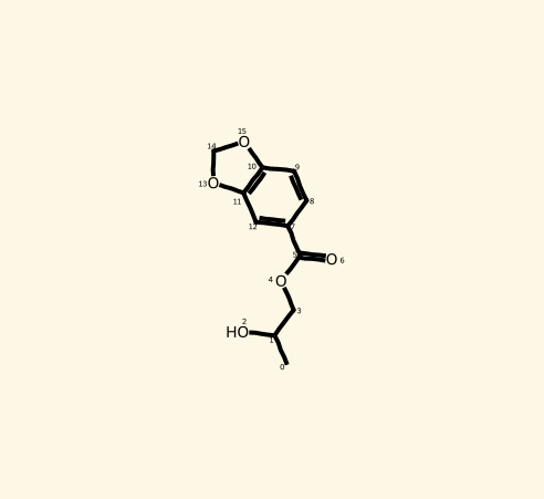 CC(O)COC(=O)c1ccc2c(c1)OCO2